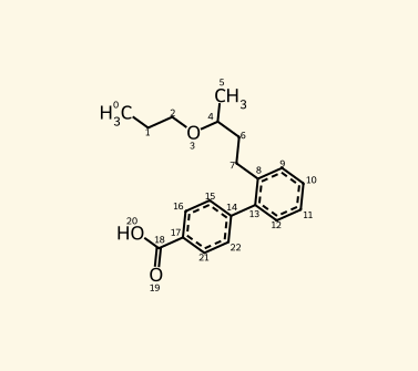 CCCOC(C)CCc1ccccc1-c1ccc(C(=O)O)cc1